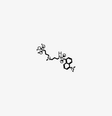 CO[Si](CCCN(C)CCCNS(=O)(=O)c1cccc2c(N(C)C)cccc12)(OC)OC